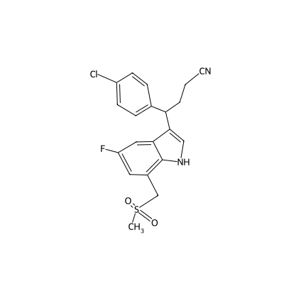 CS(=O)(=O)Cc1cc(F)cc2c(C(CCC#N)c3ccc(Cl)cc3)c[nH]c12